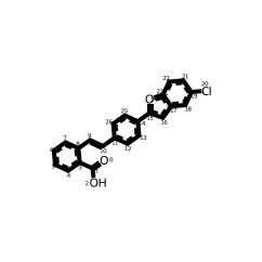 O=C(O)c1ccccc1/C=C/c1ccc(-c2cc3cc(Cl)ccc3o2)cc1